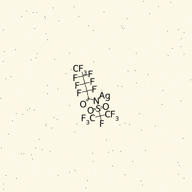 O=C([N]([Ag])S(=O)(=O)C(F)(C(F)(F)F)C(F)(F)F)C(F)(F)C(F)(F)C(F)(F)C(F)(F)F